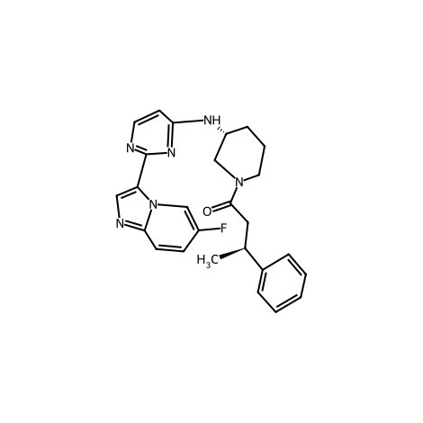 C[C@@H](CC(=O)N1CCC[C@@H](Nc2ccnc(-c3cnc4ccc(F)cn34)n2)C1)c1ccccc1